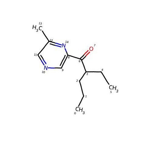 CCCC(CC)C(=O)c1cncc(C)n1